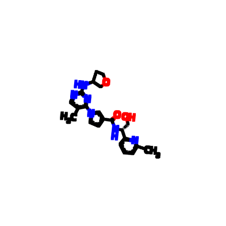 Cc1cccc([C@@H](CO)NC(=O)c2ccn(-c3nc(N[C@H]4CCOC4)ncc3C)c2)n1